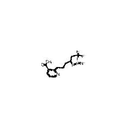 [N-]=[N+]=NC(CCCc1ncccc1C(=O)O)CC(F)(F)F